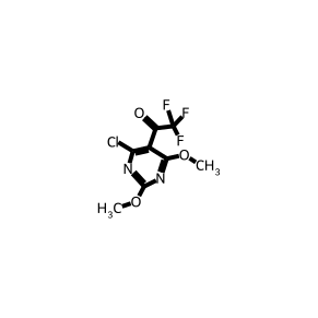 COc1nc(Cl)c(C(=O)C(F)(F)F)c(OC)n1